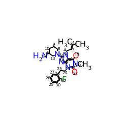 CC(C)=CCn1c(N2CCCC(N)C2)nc2c1c(=O)n(C)c(=O)n2CCc1ccccc1F